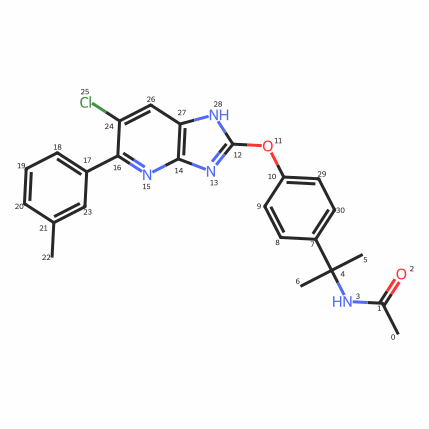 CC(=O)NC(C)(C)c1ccc(Oc2nc3nc(-c4cccc(C)c4)c(Cl)cc3[nH]2)cc1